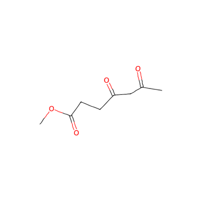 COC(=O)CCC(=O)CC(C)=O